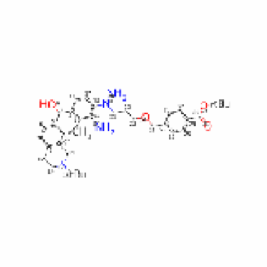 Cc1c(C(O)c2ccc3c(c2)CN(C(C)(C)C)CC3)ccc(N(N)CCCOCc2ccc(C(=O)OC(C)(C)C)cc2)c1N